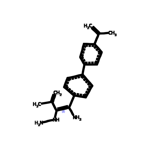 C=C(C)/C(NN)=C(/N)c1ccc(-c2ccc(C(=C)C)cc2)cc1